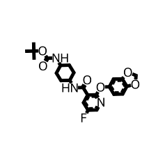 CC(C)(C)OC(=O)NC1CCC(NC(=O)c2cc(F)cnc2Oc2ccc3c(c2)OCO3)CC1